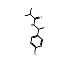 CC(C)C(=O)NC(C)c1ccc(Cl)cc1